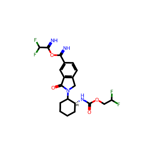 N=C(OC(=N)C(F)F)c1ccc2c(c1)C(=O)N(C1CCCC[C@H]1NC(=O)OCC(F)F)C2